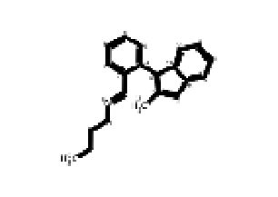 CCCCN=Cc1ccccc1C1C(C)=Cc2ccccc21